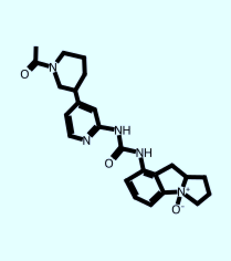 CC(=O)N1CCCC(c2ccnc(NC(=O)Nc3cccc4c3CC3CCC[N+]43[O-])c2)C1